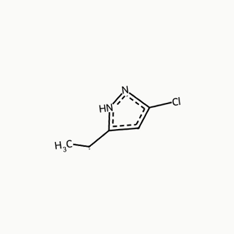 C[CH]c1cc(Cl)n[nH]1